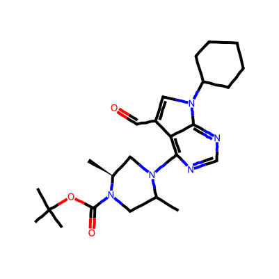 CC1CN(C(=O)OC(C)(C)C)[C@@H](C)CN1c1ncnc2c1c(C=O)cn2C1CCCCC1